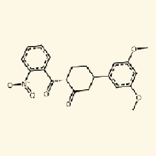 COc1cc(OC)cc(C2CC[C@@H](C(=O)c3ccccc3[N+](=O)[O-])C(=O)C2)c1